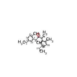 CCc1ccc(C)c(C(C)C(=O)C(C)c2cc(CC)ccc2C)c1